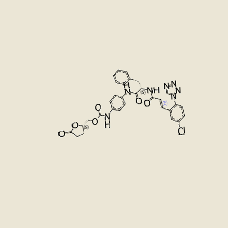 O=C(/C=C/c1cc(Cl)ccc1-n1cnnn1)N[C@@H](Cc1ccccc1)C(=O)Nc1ccc(NC(=O)OC[C@@H]2CCC(=O)O2)cc1